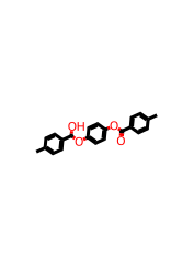 Cc1ccc(C(=O)Oc2ccc(OC(O)c3ccc(C)cc3)cc2)cc1